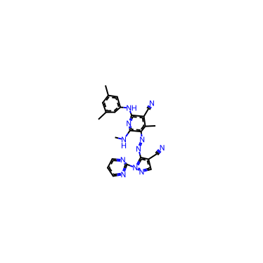 CNc1nc(Nc2cc(C)cc(C)c2)c(C#N)c(C)c1/N=N/c1c(C#N)cnn1-c1ncccn1